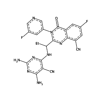 CCC(Nc1nc(N)nc(N)c1C#N)c1nc2c(C#N)cc(F)cc2c(=O)n1-c1cncc(F)c1